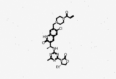 C=CC(=O)N1CCN(Cc2cc3[nH]c(=O)c([C@H](C)Nc4nc(C)nc(N5C(=O)OC[C@@H]5CC)n4)cc3cc2Cl)CC1